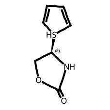 O=C1N[C@H]([SH]2C=CC=C2)CO1